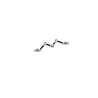 CCCC[O][Al][O]CCCC